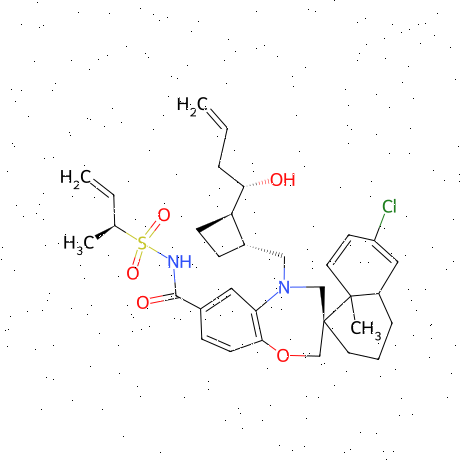 C=CC[C@H](O)[C@@H]1CC[C@H]1CN1C[C@@]2(CCCC3C=C(Cl)C=CC32C)COc2ccc(C(=O)NS(=O)(=O)[C@@H](C)C=C)cc21